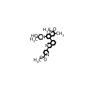 COC(=O)c1ccc(-c2cc3cccc(-c4cc(N5CCC(C)(O)CC5)cc5c4cc(C)c(=O)n5C)c3cn2)cn1